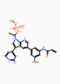 C=CC(=O)Nc1cc(OC)cc(-c2cnc3c(c2)c(-c2ccnc(F)c2)cn3C(C)OP(=O)(O)OCC)c1